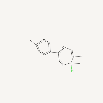 CC1=CC=C(c2ccc(C)cc2)C=CC1(C)Cl